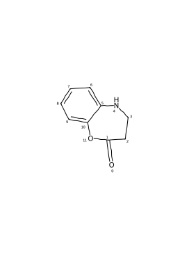 O=C1CCNc2ccccc2O1